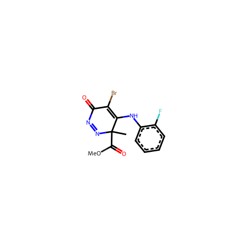 COC(=O)C1(C)N=NC(=O)C(Br)=C1Nc1ccccc1F